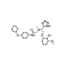 COc1cccc(OCC(c2nnn[nH]2)N(C)CC(=O)Nc2ccc(Oc3ccccc3)cc2)c1OC